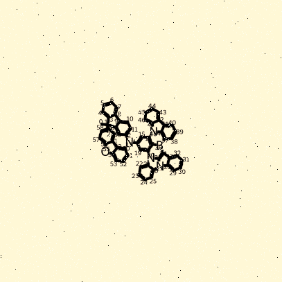 CC1(C)c2ccccc2-c2ccc(N(c3cc4c5c(c3)-n3c6ccccc6n6c7ccccc7c(c36)B5c3cccc5c6ccccc6n-4c35)c3cccc4oc5ccccc5c34)cc21